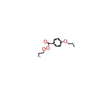 [CH2]CCOOC(=O)c1ccc(OCCC)cc1